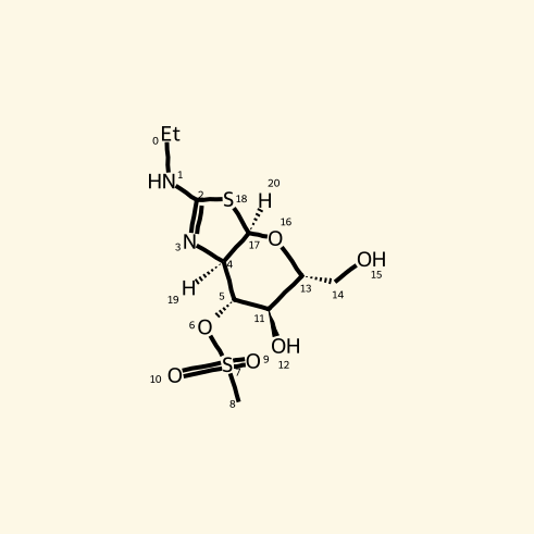 CCNC1=N[C@@H]2[C@@H](OS(C)(=O)=O)[C@H](O)[C@@H](CO)O[C@@H]2S1